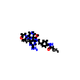 C=CC(=O)Nc1ccc(CCNC(=O)C2(c3cnc(N)nc3C)C=NC=C(N3CCOCC3)N2)cc1